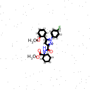 COC(=O)C1(NC(=O)c2cc(-c3ccccc3OC)n(-c3ccc(F)cc3)n2)CCCCC1